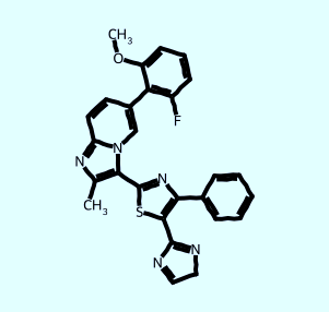 COc1cccc(F)c1-c1ccc2nc(C)c(-c3nc(-c4ccccc4)c(C4=NCC=N4)s3)n2c1